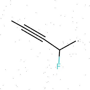 [CH2]C(F)C#CC